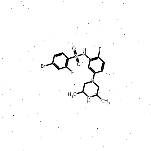 CC1CN(c2ccc(F)c(NS(=O)(=O)c3ccc(Br)cc3F)c2)CC(C)N1